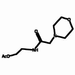 CC(=O)OCCNC(=O)CN1CCOCC1